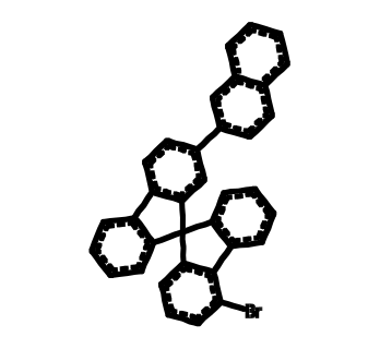 Brc1cccc2c1-c1ccccc1C21c2ccccc2-c2ccc(-c3ccc4ccccc4c3)cc21